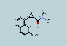 COc1ccc2cccc(C3CC3C(=O)N(C)OC)c2c1